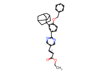 CCOC(=O)/C=C/c1cnc(-c2ccc(OCc3ccccc3)c(C34CC5CC(CC(C5)C3)C4)c2)nc1